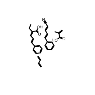 C=C(C)C(=O)O.C=CC=C.CCC(=CC=Cc1ccccc1)C(=O)O.N#CC=CC=Cc1ccccc1